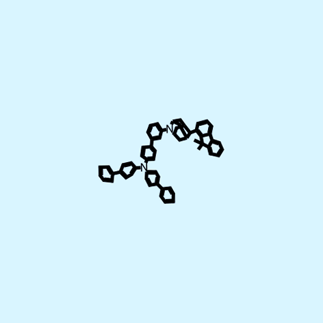 CC1(C)c2ccccc2-c2cccc(C3C4CC5CC3CC(C4)N5c3cccc(-c4ccc(N(c5ccc(-c6ccccc6)cc5)c5ccc(-c6ccccc6)cc5)cc4)c3)c21